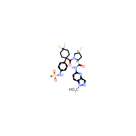 CS(=O)(=O)Nc1ccc(C2(C(=O)N3C[C@H](F)C[C@@H]3C(=O)Nc3ccc4c(cnn4C(=O)O)n3)CCC(F)(F)CC2)cc1